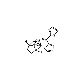 C[N+]1(C)[C@@H]2CC[C@H]1C[C@@H](C=C(c1cccs1)c1cccs1)C2.[I-]